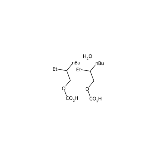 CCCCC(CC)COC(=O)O.CCCCC(CC)COC(=O)O.O